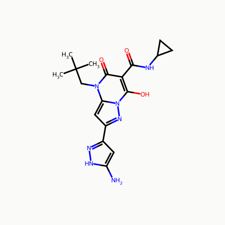 CC(C)(C)Cn1c(=O)c(C(=O)NC2CC2)c(O)n2nc(-c3cc(N)[nH]n3)cc12